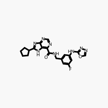 O=C(NCc1cc(F)cc(Nc2nnco2)c1)c1ncnc2nc(C3CCCC3)[nH]c12